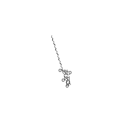 CCC=CCC=CCC=CCC=CCC=CCC=CCCC(=O)NCC(CNC(=O)c1c[n+]([O-])c(C)cn1)N1CCOCC1